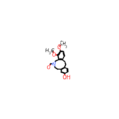 COc1ccc2c(c1OC)CN(C=O)CCc1cc(O)ccc1CC2